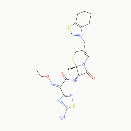 CCO/N=C(\C(=O)N[C@@H]1C(=O)N2C=C(C[n+]3csc4c3CCCC4)CS[C@@H]12)c1nsc(N)n1